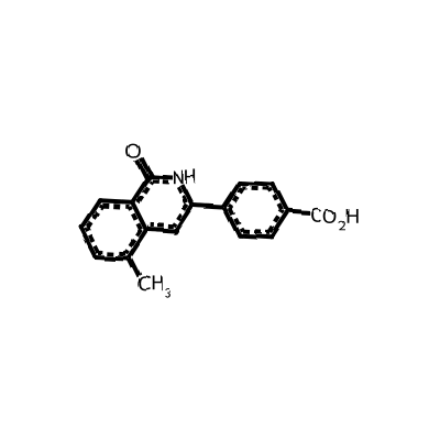 Cc1cccc2c(=O)[nH]c(-c3ccc(C(=O)O)cc3)cc12